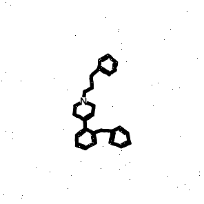 C1=C(c2ccccc2Cc2ccccc2)CCN(CCCc2ccccc2)C1